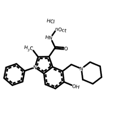 CCCCCCCCNC(=O)c1c(C)n(-c2ccccc2)c2ccc(O)c(CN3CCCCC3)c12.Cl